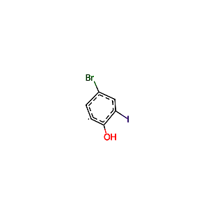 Oc1[c]cc(Br)cc1I